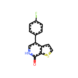 O=c1[nH]cc(-c2ccc(F)cc2)c2ccsc12